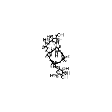 CCC1=C(C)c2cc3[nH]c(cc4nc(c(C)c5cc(C)c(cc1n2)[nH]5)[C@@H](CCC(=O)N(C)C[C@H](O)[C@@H](O)[C@H](O)[C@H](O)CO)[C@@H]4C)c(C)c3CO[C@@H]1O[C@H](CO)[C@@H](O)[C@H](O)[C@H]1O